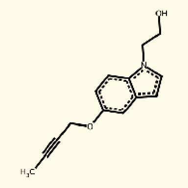 CC#CCOc1ccc2c(ccn2CCO)c1